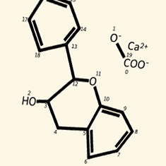 O=C([O-])[O-].OC1Cc2ccccc2OC1c1ccccc1.[Ca+2]